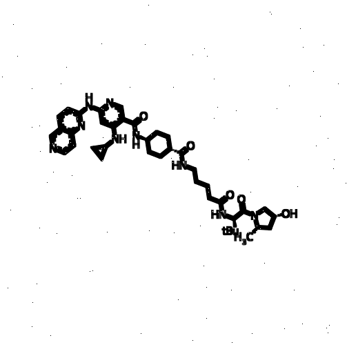 C[C@@H]1C[C@@H](O)CN1C(=O)[C@H](NC(=O)CCCCNC(=O)[C@H]1CC[C@H](NC(=O)c2cnc(Nc3ccc4cnccc4n3)cc2NC2CC2)CC1)C(C)(C)C